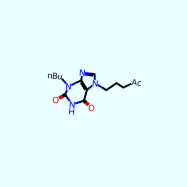 CCCCn1c(=O)[nH]c(=O)c2c1ncn2CCCC(C)=O